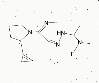 C/N=C(\C=N/NC(C)N(C)F)N1CCCC1C1=CC1